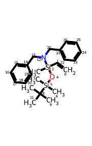 C=C[Si](C)(O[Si](C)(C)C(C)(C)C)N(Cc1ccccc1)Cc1ccccc1